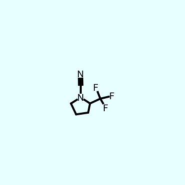 N#CN1CCCC1C(F)(F)F